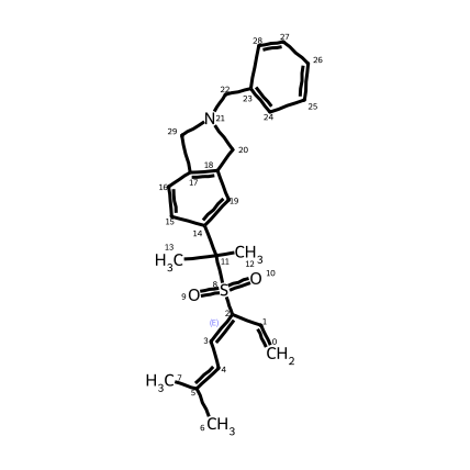 C=C/C(=C\C=C(C)C)S(=O)(=O)C(C)(C)c1ccc2c(c1)CN(Cc1ccccc1)C2